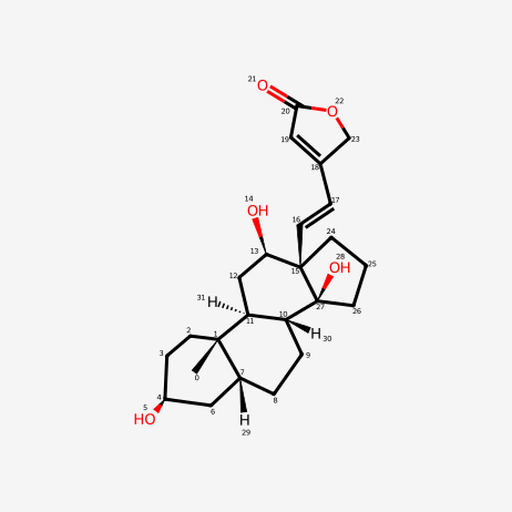 C[C@]12CC[C@H](O)C[C@H]1CC[C@@H]1[C@@H]2C[C@@H](O)[C@]2(/C=C/C3=CC(=O)OC3)CCC[C@]12O